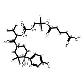 CC(C)[C@@H](NC(=O)NCC(C)(C)OC(=O)CCCC(=O)O)C(=O)N1CC[C@](O)(c2ccc(Cl)cc2)C(C)(C)C1